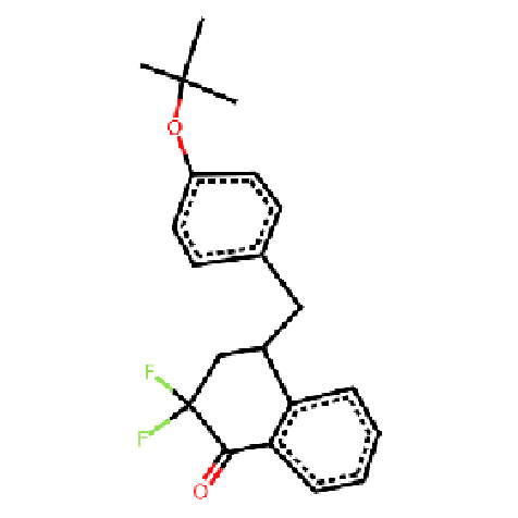 CC(C)(C)Oc1ccc(CC2CC(F)(F)C(=O)c3ccccc32)cc1